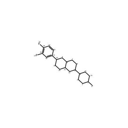 CC1CCC(C2CCC3CC(c4ccc(F)c(F)c4)CCC3C2)CC1